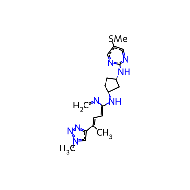 C=N/C(=C\C=C(/C)c1cn(C)nn1)N[C@H]1CC[C@H](Nc2ncc(SC)cn2)C1